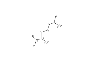 CC(Br)CCCC(Br)C(C)C